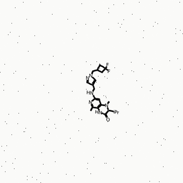 Cc1nc(NCc2cnn(CC3CC(F)(F)C3)c2)cc2c1NC(=O)C(C(C)C)N2C